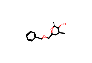 CC1CC(COCc2ccccc2)O[C@@H](C)C1O